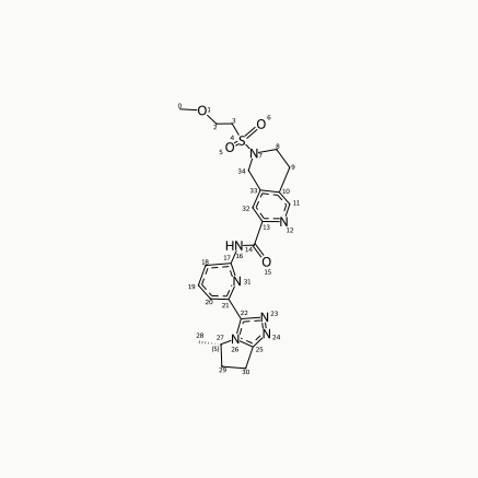 COCCS(=O)(=O)N1CCc2cnc(C(=O)Nc3cccc(-c4nnc5n4[C@@H](C)CC5)n3)cc2C1